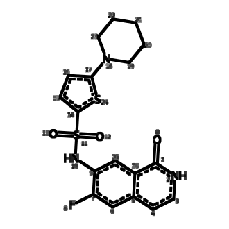 O=c1[nH]ccc2cc(F)c(NS(=O)(=O)c3ccc(N4CCCCC4)s3)cc12